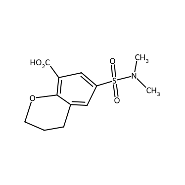 CN(C)S(=O)(=O)c1cc2c(c(C(=O)O)c1)OCCC2